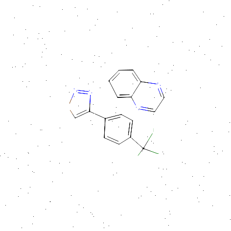 FC(F)(F)c1ccc(-c2csnn2)cc1.c1ccc2nccnc2c1